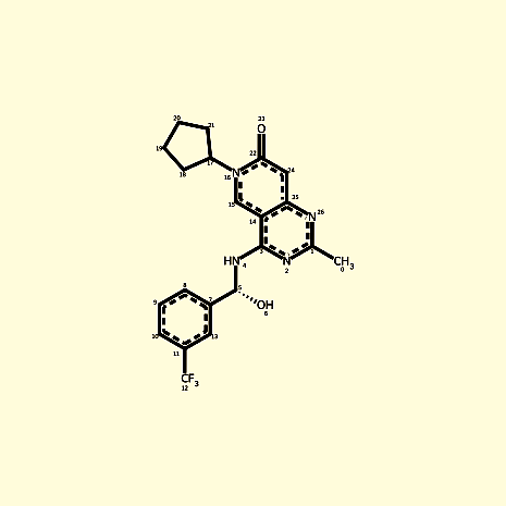 Cc1nc(N[C@H](O)c2cccc(C(F)(F)F)c2)c2cn(C3CCCC3)c(=O)cc2n1